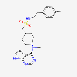 Cc1ccc(CCNS(=O)(=O)C[C@H]2CC[C@H](N(C)c3ncnc4[nH]ccc34)CC2)cc1